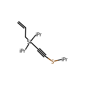 C=CC[Si](C#CSC(C)C)(C(C)C)C(C)C